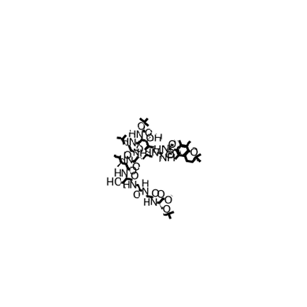 CC[C@H](C)[C@H](NC(=O)[C@@H](CCCNC(=N)NS(=O)(=O)c1c(C)c(C)c2c(c1C)CCC(C)(C)O2)NC(=O)[C@H](CC(C)C)NC(=O)[C@@H](NC(=O)OC(C)(C)C)[C@H](O)C(C)C)C(=O)N[C@H](C(=O)NCC(=O)NCC(=O)N[C@@H](COC(C)(C)C)C(=O)OC)[C@H](C)O